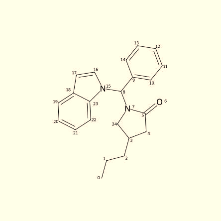 CCCC1CC(=O)N(C(c2ccccc2)n2ccc3ccccc32)C1